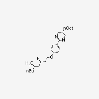 CCCCCCCCc1cnc(-c2ccc(OCCC(F)CC(C)CCCC)cc2)nc1